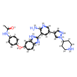 CC(=O)Nc1ccc(Oc2ccc3nc(-c4cc(-c5cnn(C6CCNCC6)c5)cnc4N)[nH]c3c2)cc1